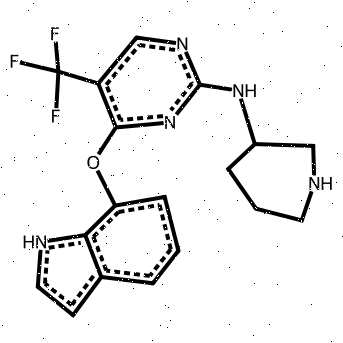 FC(F)(F)c1cnc(NC2CCCNC2)nc1Oc1cccc2cc[nH]c12